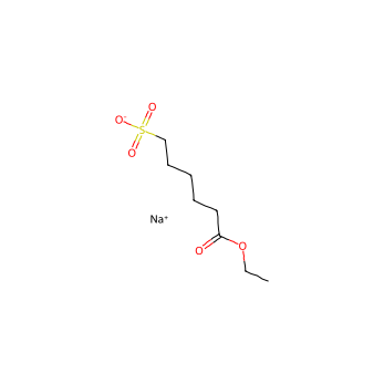 CCOC(=O)CCCCCS(=O)(=O)[O-].[Na+]